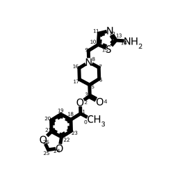 CC(OC(=O)C1CCN(Cc2cnc(N)s2)CC1)c1ccc2c(c1)OCO2